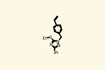 C=Cc1ccc(Cn2nc(C(C)C)nc2SCC)cc1